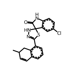 CC1C=Cc2cccc(C3=NNC4(S3)C(=O)Nc3ccc(Cl)cc34)c2C1